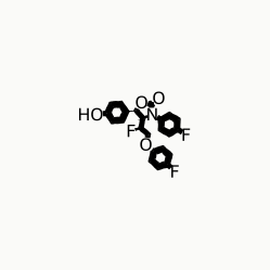 O=C1O[C@@H](c2ccc(O)cc2)[C@H]([C@H](F)COc2ccc(F)cc2)N1c1ccc(F)cc1